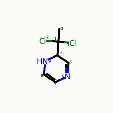 CC(Cl)(Cl)C1C=NC=CN1